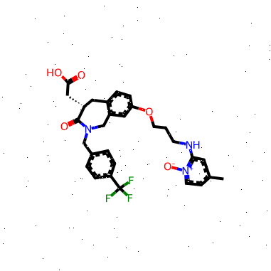 Cc1cc[n+]([O-])c(NCCCOc2ccc3c(c2)CN(Cc2ccc(C(F)(F)F)cc2)C(=O)[C@H](CC(=O)O)C3)c1